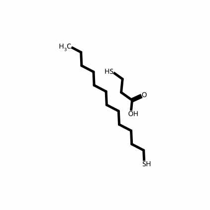 CCCCCCCCCCCCS.O=C(O)CCS